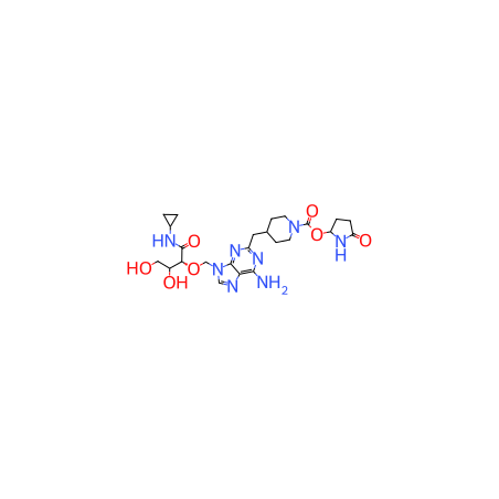 Nc1nc(CC2CCN(C(=O)OC3CCC(=O)N3)CC2)nc2c1ncn2CO[C@H](C(=O)NC1CC1)C(O)CO